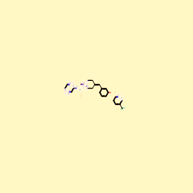 Cc1nccnc1NC(=O)N1CCC(=Cc2cccc(Oc3ccc(C(F)(F)F)cn3)c2)CC1